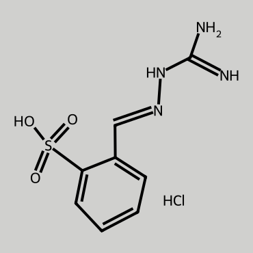 Cl.N=C(N)NN=Cc1ccccc1S(=O)(=O)O